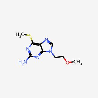 COCCn1cnc2c(SC)nc(N)nc21